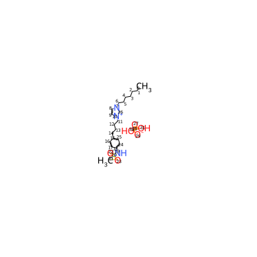 CCCCCCCn1cc[n+](CCCCc2ccc(NS(C)(=O)=O)cc2)c1.O=P([O-])(O)O